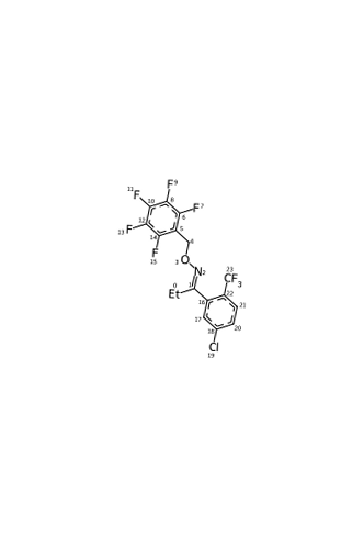 CC/C(=N\OCc1c(F)c(F)c(F)c(F)c1F)c1cc(Cl)ccc1C(F)(F)F